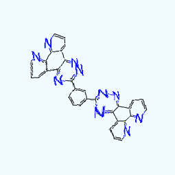 c1cc(-c2nnc3c4cccnc4c4ncccc4c3n2)cc(-c2nnc3c4cccnc4c4ncccc4c3n2)c1